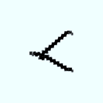 CCCCCCCCCCCCCCCCc1n(CCC)cc[n+]1CCCCCCCCCCCCC